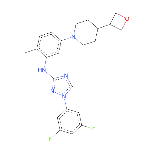 Cc1ccc(N2CCC(C3COC3)CC2)cc1Nc1ncn(-c2cc(F)cc(F)c2)n1